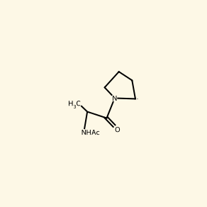 CC(=O)NC(C)C(=O)N1[CH]CCC1